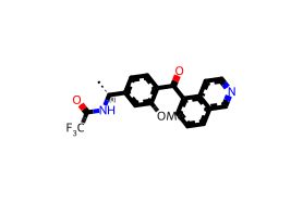 COc1cc([C@@H](C)NC(=O)C(F)(F)F)ccc1C(=O)c1cccc2cnccc12